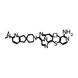 CN(C)c1ccc2c(n1)CC1(CCN(c3nc4ccc(Sc5ccnc(N)c5Cl)c5ncc3n45)CC1)C2